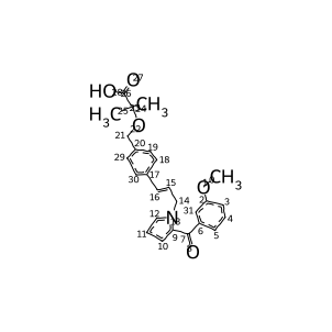 COc1cccc(C(=O)c2cccn2C/C=C/c2ccc(COC(C)(C)C(=O)O)cc2)c1